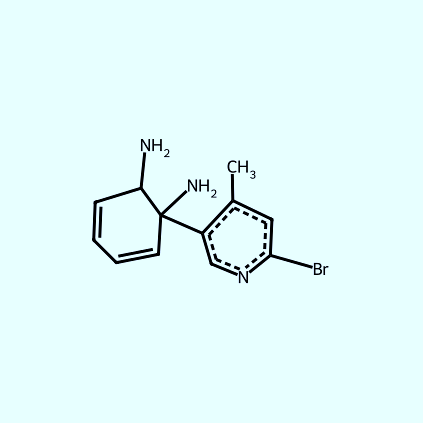 Cc1cc(Br)ncc1C1(N)C=CC=CC1N